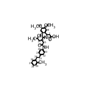 COc1ccc(C(CC(=O)O)NC(=O)C(CC(=O)Nc2ccc(CCc3ccccc3C)cc2)CC(C)C)cc1OC